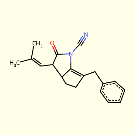 CC(C)=CC1C(=O)N(C#N)C2=C(Cc3ccccc3)CCC21